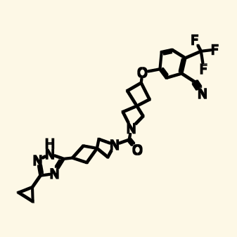 N#Cc1cc(OC2CC3(C2)CN(C(=O)N2CC4(CC(c5nc(C6CC6)n[nH]5)C4)C2)C3)ccc1C(F)(F)F